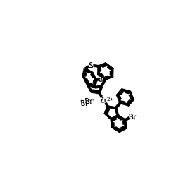 Brc1cccc2c1C(c1ccccc1)[C]([Zr+2][C]1=Cc3cc4cc(Br)c3C1c1cccc(c1)S4)=C2.[Br-].[Br-]